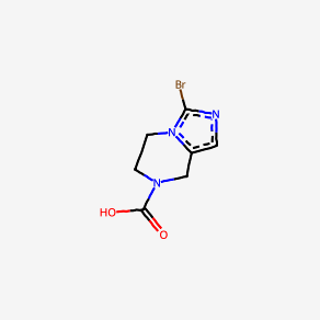 O=C(O)N1CCn2c(cnc2Br)C1